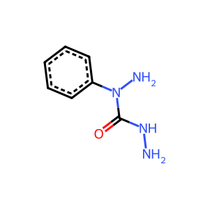 NNC(=O)N(N)c1ccccc1